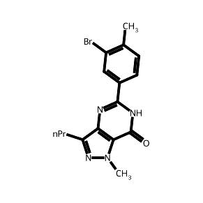 CCCc1nn(C)c2c(=O)[nH]c(-c3ccc(C)c(Br)c3)nc12